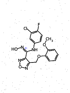 COc1ccccc1OCc1nonc1/C(=N\O)Nc1ccc(F)c(Cl)c1